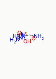 NC(=O)CCCCSc1nc2c(=O)[nH]c(N)nc2n1CCO